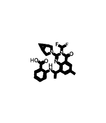 Cc1cc(C(C)Nc2ccccc2C(=O)O)c2nc(N3CC4CC4C3)n(C(F)F)c(=O)c2c1